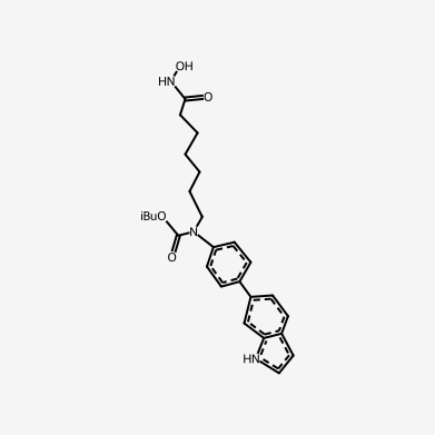 CC(C)COC(=O)N(CCCCCCC(=O)NO)c1ccc(-c2ccc3cc[nH]c3c2)cc1